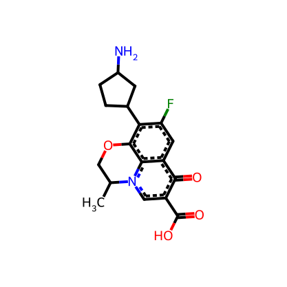 CC1COc2c(C3CCC(N)C3)c(F)cc3c(=O)c(C(=O)O)cn1c23